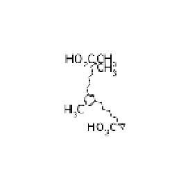 Cc1cc(CCCCCC(C)(C)C(=O)O)cc(CCCCCC2(C(=O)O)CC2)c1